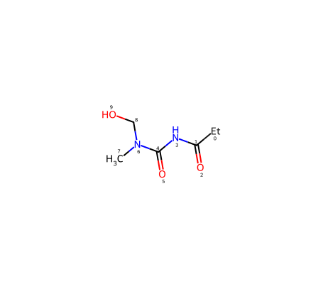 CCC(=O)NC(=O)N(C)CO